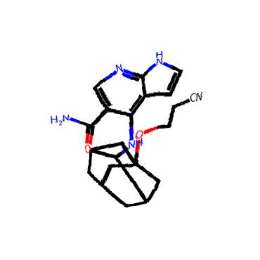 N#CCCOC12CC3CC(C1)C(Nc1c(C(N)=O)cnc4[nH]ccc14)C(C3)C2